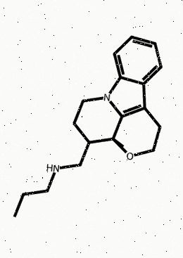 CCCNCC1CCn2c3c(c4ccccc42)CCOC31C